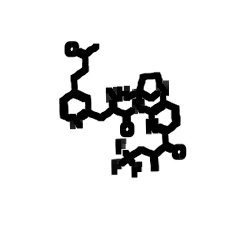 C=C(CC(F)(F)F)C(=O)c1ccc2c(n1)N(C(=O)C(=N)Cc1cc(CCC(C)=O)ccn1)[C@]1(C)CCN2C1